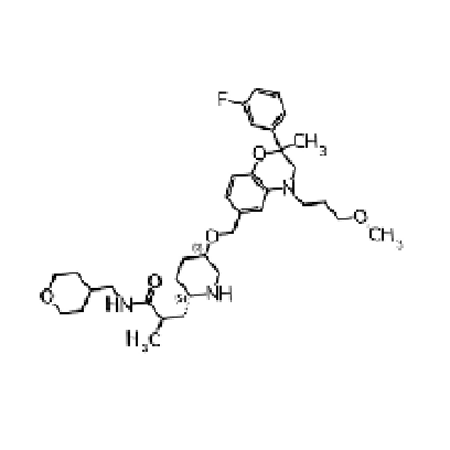 COCCCN1CC(C)(c2cccc(F)c2)Oc2ccc(CO[C@@H]3CC[C@@H](CC(C)C(=O)NCC4CCOCC4)NC3)cc21